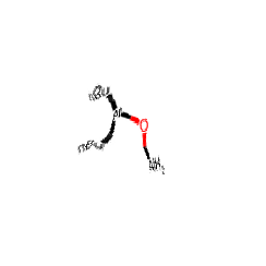 CCC[CH2][Al]([CH2]CCC)[O][AlH2]